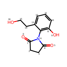 O=C1CCC(=O)N1c1c(O)cccc1CCO